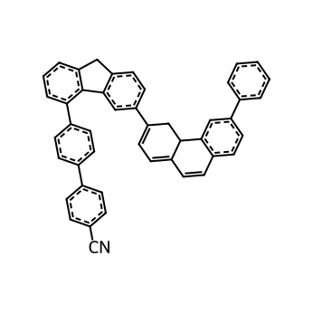 N#Cc1ccc(-c2ccc(-c3cccc4c3-c3cc(C5=CC=C6C=Cc7ccc(-c8ccccc8)cc7C6C5)ccc3C4)cc2)cc1